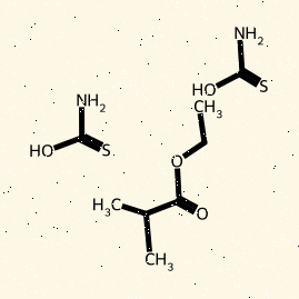 CCOC(=O)C(C)C.NC(O)=S.NC(O)=S